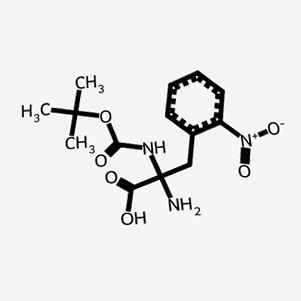 CC(C)(C)OC(=O)NC(N)(Cc1ccccc1[N+](=O)[O-])C(=O)O